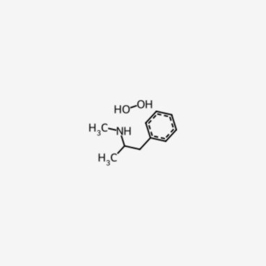 CNC(C)Cc1ccccc1.OO